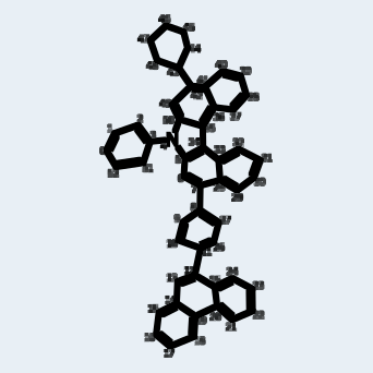 c1ccc(-n2c3cc(-c4ccc(-c5cc6ccccc6c6ccccc56)cc4)c4ccccc4c3c3c4ccccc4c(C4CCCCC4)cc32)cc1